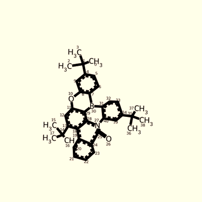 CC(C)(C)c1ccc2c(c1)Oc1cc(C(C)(C)C)c3c4ccccc4c(=O)n4c3c1B2c1ccc(C(C)(C)C)cc1-4